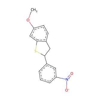 COc1ccc2c(c1)SC(c1cccc([N+](=O)[O-])c1)C2